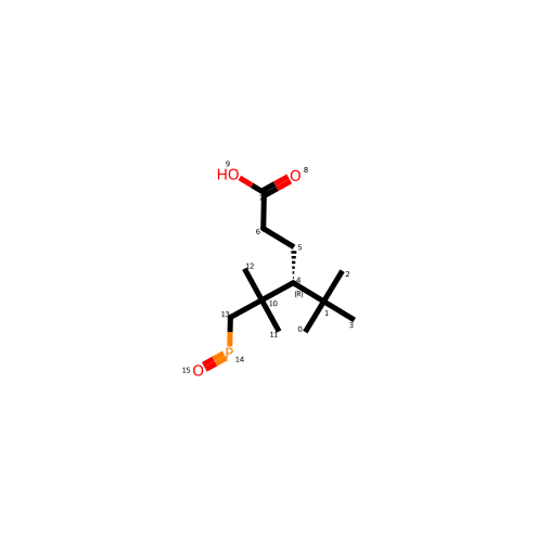 CC(C)(C)[C@@H](CCC(=O)O)C(C)(C)CP=O